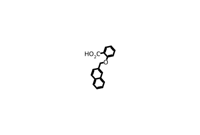 O=C(O)c1ccccc1OCc1ccc2ccccc2c1